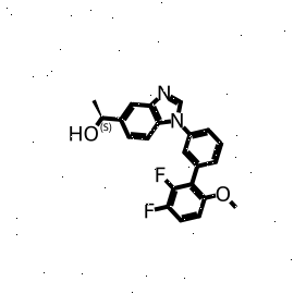 COc1ccc(F)c(F)c1-c1cccc(-n2cnc3cc([C@H](C)O)ccc32)c1